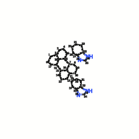 c1cc2cccc3c4cccc5cccc(c(c1)c23)c54.c1ccc2[nH]cnc2c1.c1ccc2[nH]cnc2c1